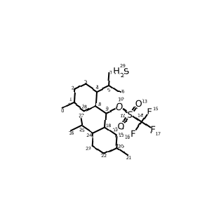 CC1CCC(C(C)C)C(C(OS(=O)(=O)C(F)(F)F)C2CC(C)CCC2C(C)C)C1.S